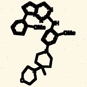 COc1cc(N2CCC(C)(N3CCOCC3)CC2)ccc1Nc1ncc2ccc(-c3ccccc3OC)n2n1